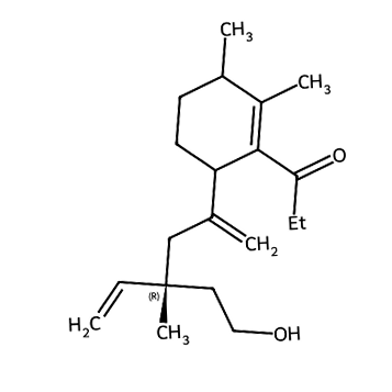 C=C[C@@](C)(CCO)CC(=C)C1CCC(C)C(C)=C1C(=O)CC